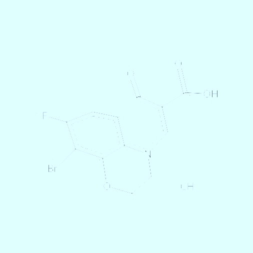 C[C@@H]1COc2c(Br)c(F)cc3c(=O)c(C(=O)O)cn1c23